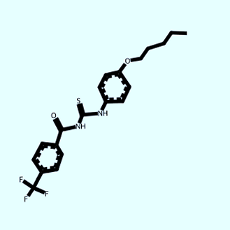 CCCCCOc1ccc(NC(=S)NC(=O)c2ccc(C(F)(F)F)cc2)cc1